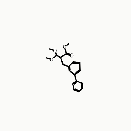 COC(=O)C(Cc1cccc(-c2ccccc2)c1)C(OC)OC